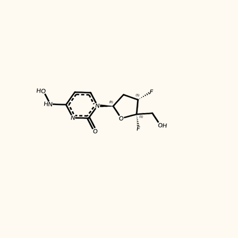 O=c1nc(NO)ccn1[C@H]1C[C@H](F)[C@@](F)(CO)O1